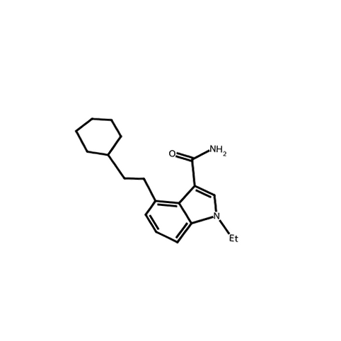 CCn1cc(C(N)=O)c2c(CCC3CCCCC3)cccc21